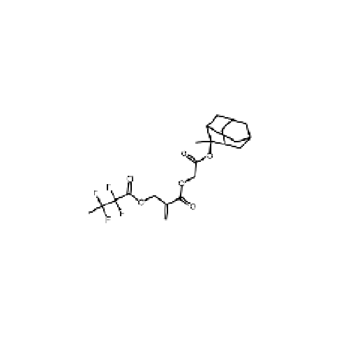 C=C(COC(=O)C(F)(F)C(C)(F)F)C(=O)OCC(=O)OC1(C)C2CC3CC(C2)CC1C3